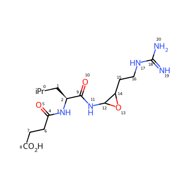 CC(C)C[C@H](NC(=O)CCC(=O)O)C(=O)NC1OC1CCNC(=N)N